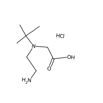 CC(C)(C)N(CCN)CC(=O)O.Cl